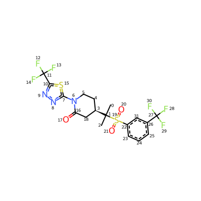 CC(C)([C@@H]1CCN(c2nnc(C(F)(F)F)s2)C(=O)C1)S(=O)(=O)c1cccc(C(F)(F)F)c1